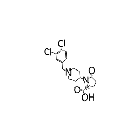 O=C(O)[C@H]1CCC(=O)N1C1CCN(Cc2ccc(Cl)c(Cl)c2)CC1